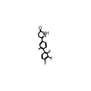 Cc1cc(C2=NNC(=O)CC2)ccc1-c1ccc(F)c(F)c1F